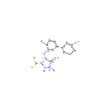 Cc1ccc(-c2cccc(Cl)c2)cc1Cn1c(C(F)F)nn(C)c1=O